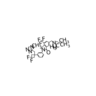 Cn1cnnc1CC1(c2cccc(N3Cc4c(cc(CNCC(C)(C)C)cc4C(F)(F)F)C3=O)c2)CC(F)(F)C1